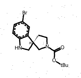 CC(C)(C)OC(=O)N1CC[C@@]2(CNc3ccc(Br)cc32)C1